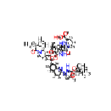 CC(C)C(=O)N1CCC(/C=C/c2ccc3ccc(N(C)NC(=O)OC(C)(C)C)nc3c2)(C(=O)O[C@H](C(=O)N[C@@H](C)C(=O)N2CCC[C@@H](C(=O)O)N2)C(C)C)CC1